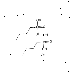 CCCCP(=O)(O)O.CCCCP(=O)(O)O.[Zn]